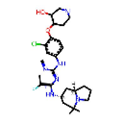 C=N/C(=N\C(N[C@@H]1C[C@@H]2CCCN2C(C)(C)C1)=C(/C)F)Nc1ccc(OC2CCNCC2O)c(Cl)c1